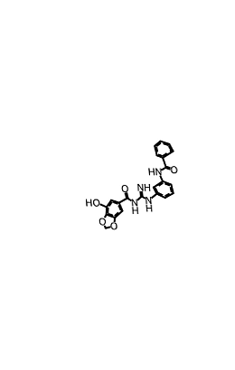 N=C(NC(=O)c1cc(O)c2c(c1)OCO2)Nc1cccc(NC(=O)c2ccccc2)c1